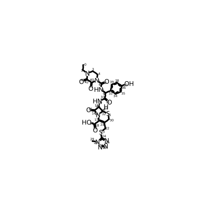 CCN1CCN(C(=O)NC(C(=O)N[C@@H]2C(=O)N3C(C(=O)O)=C(CSc4nnnn4C)CS[C@H]23)c2ccc(O)cc2)C(=O)C1=O